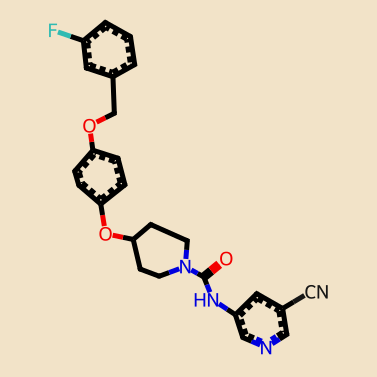 N#Cc1cncc(NC(=O)N2CCC(Oc3ccc(OCc4cccc(F)c4)cc3)CC2)c1